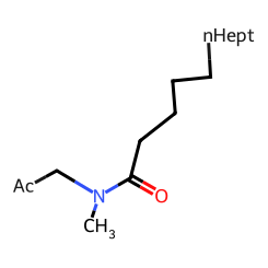 CCCCCCCCCCCC(=O)N(C)CC(C)=O